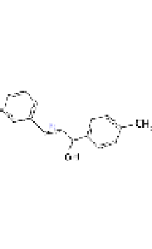 Cc1ccc(C(O)/C=C/c2ccccc2)cc1